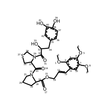 COc1cc(OC)c(OC)cc1/C=C/COC(=O)C1CCCN1C(=O)C1CSCN1C(=O)C(O)Cc1ccc(O)c(O)c1